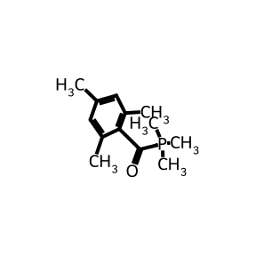 Cc1cc(C)c(C(=O)[P](C)(C)C)c(C)c1